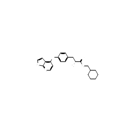 N[C@@H](Cc1ccc(Oc2ccnc3[nH]ccc23)cc1)C(=O)NCC1CCCCC1